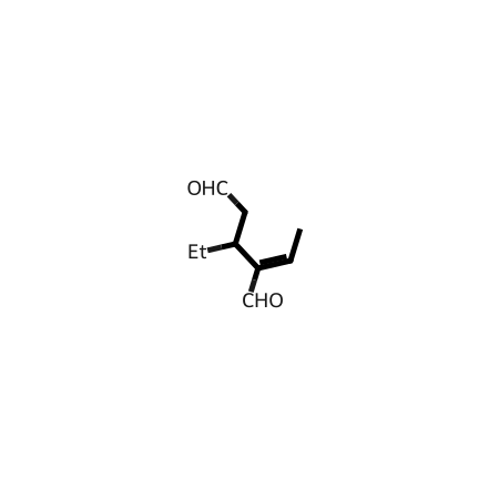 C/C=C(/C=O)C(CC)CC=O